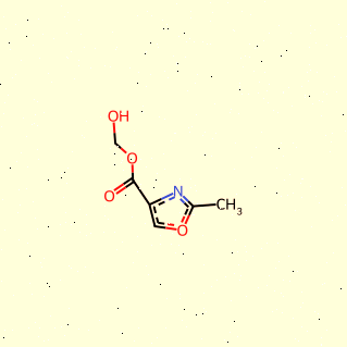 Cc1nc(C(=O)OCO)co1